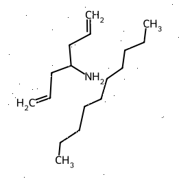 C=CCC(N)CC=C.CCCCCCCCCC